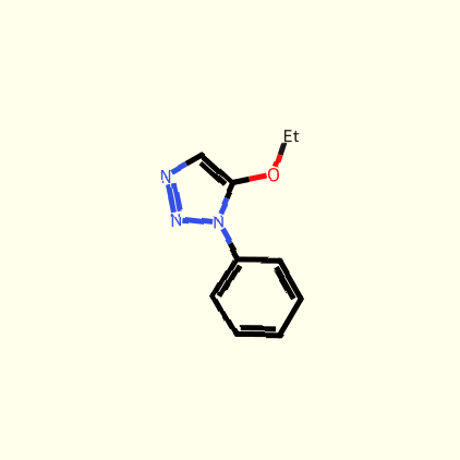 CCOc1cnnn1-c1ccccc1